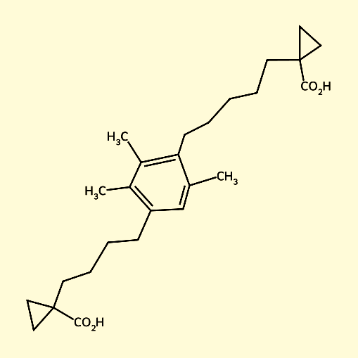 Cc1cc(CCCCC2(C(=O)O)CC2)c(C)c(C)c1CCCCCC1(C(=O)O)CC1